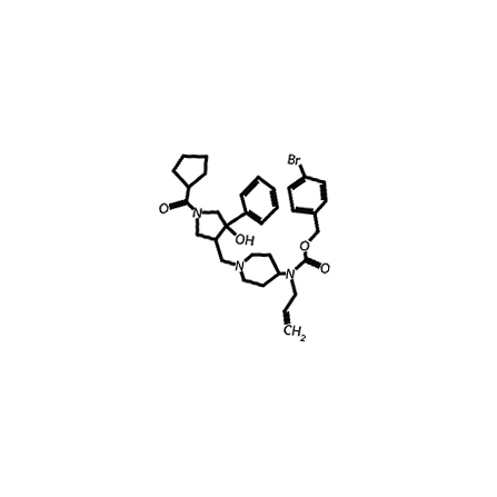 C=CCN(C(=O)OCc1ccc(Br)cc1)C1CCN(CC2CN(C(=O)C3CCCC3)CC2(O)c2ccccc2)CC1